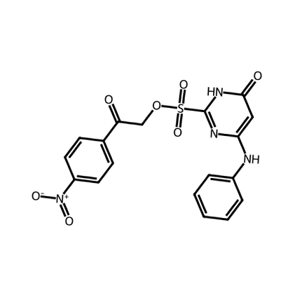 O=C(COS(=O)(=O)c1nc(Nc2ccccc2)cc(=O)[nH]1)c1ccc([N+](=O)[O-])cc1